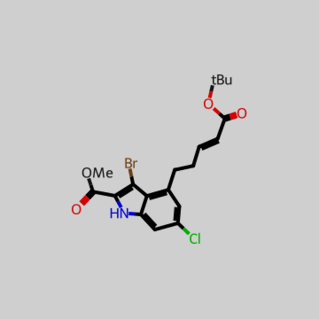 COC(=O)c1[nH]c2cc(Cl)cc(CCC=CC(=O)OC(C)(C)C)c2c1Br